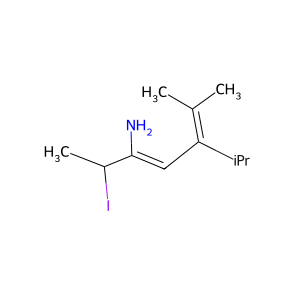 CC(C)=C(/C=C(\N)C(C)I)C(C)C